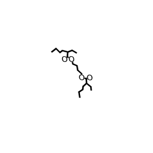 CCCCC(CC)C(=O)OCCCCOC(=O)C(CC)CCCC